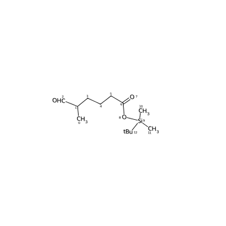 CC(C=O)CCCC(=O)O[Si](C)(C)C(C)(C)C